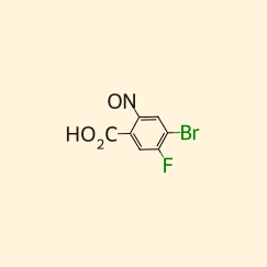 O=Nc1cc(Br)c(F)cc1C(=O)O